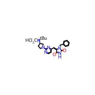 CC(C)(C)N(C(=O)O)C1CCN(c2nccc(/C=C3\C(=O)NC(=O)N3Cc3ccccc3)n2)C1